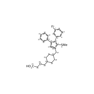 CSc1c(-c2cncc(F)c2)c(-c2ccccc2)nn1CC1CCC(COCC(=O)O)CC1